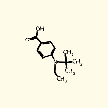 CCN(c1ccc(C(=O)O)cc1)C(C)(C)C